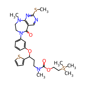 CSc1ncc2c(n1)N(C)CCN(c1cccc(OC(CCN(C)C(=O)OCCS(C)(C)C)c3cccs3)c1)C2=O